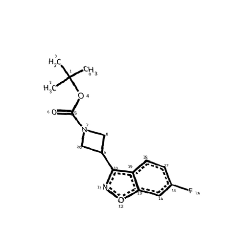 CC(C)(C)OC(=O)N1CC(c2noc3cc(F)ccc23)C1